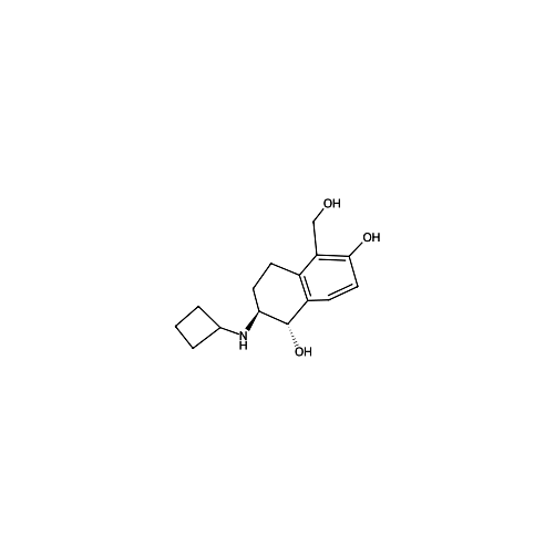 OCc1c(O)ccc2c1CC[C@H](NC1CCC1)[C@H]2O